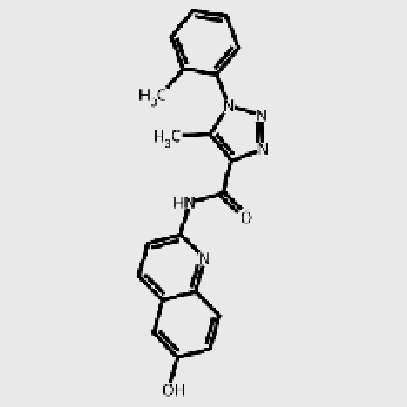 Cc1ccccc1-n1nnc(C(=O)Nc2ccc3cc(O)ccc3n2)c1C